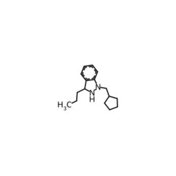 CCCC1NN(CC2CCCC2)c2ccccc21